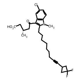 C[C@H](CC(=O)O)CC(=O)c1c(CCCCCCCC#CC2CC(F)(F)C2)n(C)c2ccc(Cl)cc12